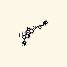 C[C@]12CC[C@H](OCCOCCN3CCCC3)C[C@H]1CC[C@@H]1[C@@H]2CC[C@]2(C)[C@@H](c3ccoc3)C[C@H]3O[C@]132